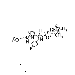 COCCCNc1nccc(-c2[nH]c(C3OCC(C(C)NS(C)(=O)=O)CO3)nc2-c2ccc(F)cc2)n1